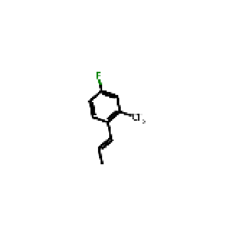 C/C=C/c1ccc(F)cc1C(F)(F)F